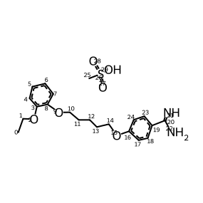 CCOc1ccccc1OCCCCCOc1ccc(C(=N)N)cc1.CS(=O)(=O)O